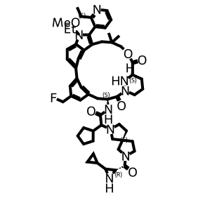 CCn1c(-c2cccnc2[C@H](C)OC)c2c3cc(ccc31)-c1cc(CF)cc(c1)C[C@H](NC(=O)C(C1CCCC1)N1CC[C@]3(CCN(C(=O)[C@@H]4NC4C4CC4)C3)C1)C(=O)N1CCC[C@H](N1)C(=O)OCC(C)(C)C2